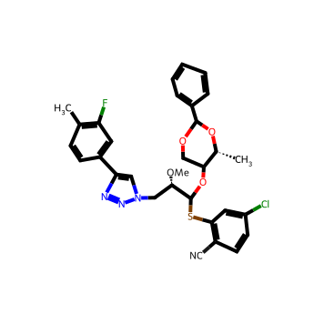 CO[C@@H](Cn1cc(-c2ccc(C)c(F)c2)nn1)C(OC1COC(c2ccccc2)O[C@@H]1C)Sc1cc(Cl)ccc1C#N